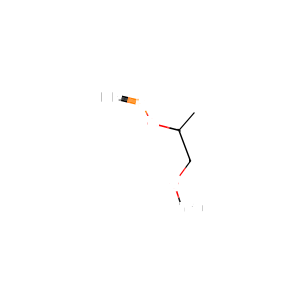 B=POC(C)COCCCC